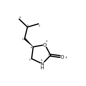 CC(C)C[C@@H]1CNC(=O)O1